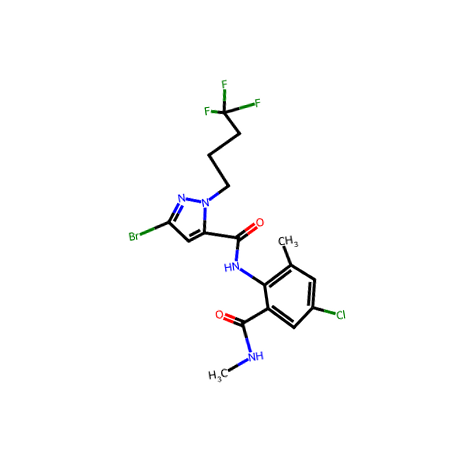 CNC(=O)c1cc(Cl)cc(C)c1NC(=O)c1cc(Br)nn1CCCC(F)(F)F